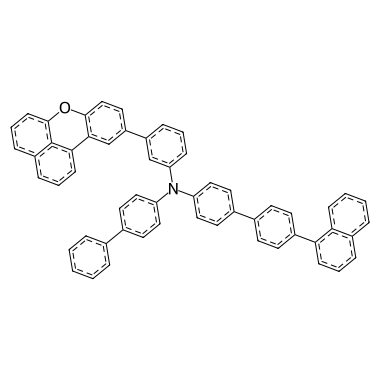 c1ccc(-c2ccc(N(c3ccc(-c4ccc(-c5cccc6ccccc56)cc4)cc3)c3cccc(-c4ccc5c(c4)-c4cccc6cccc(c46)O5)c3)cc2)cc1